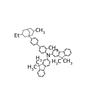 CCC1CC2CC(C)CC(c3ccc(-c4ccc(N(c5ccc6c(c5)C(C)(C)c5ccccc5-6)c5ccc6c(c5)C(C)(C)c5ccccc5-6)c(C)c4)cc3)(C1)C2